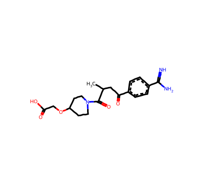 CC(CC(=O)c1ccc(C(=N)N)cc1)C(=O)N1CCC(OCC(=O)O)CC1